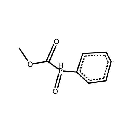 COC(=O)[PH](=O)c1cc[c]cc1